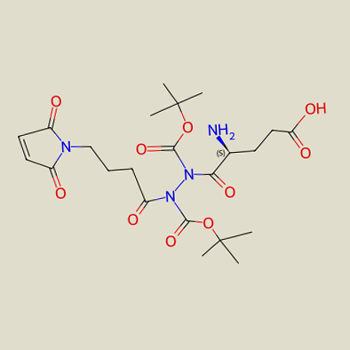 CC(C)(C)OC(=O)N(C(=O)CCCN1C(=O)C=CC1=O)N(C(=O)OC(C)(C)C)C(=O)[C@@H](N)CCC(=O)O